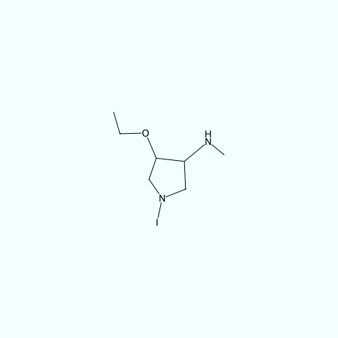 CCOC1CN(I)CC1NC